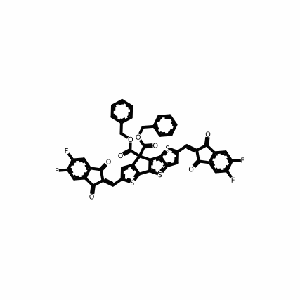 O=C1C(=Cc2cc3c(s2)-c2sc4cc(C=C5C(=O)c6cc(F)c(F)cc6C5=O)sc4c2C3(C(=O)OCc2ccccc2)C(=O)OCc2ccccc2)C(=O)c2cc(F)c(F)cc21